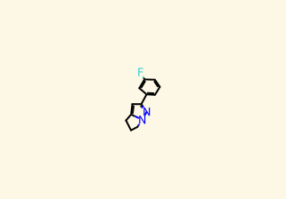 Fc1cccc(-c2cc3n(n2)CCC3)c1